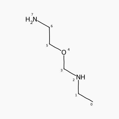 CCNCOCCN